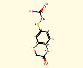 O=C1COc2cc(SOC(=O)I)ccc2N1